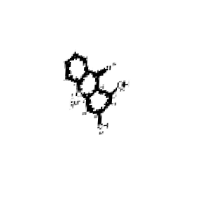 O=c1c2ccccc2oc2cc(O)cc(O)c12.[Eu]